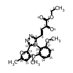 CCOC(=O)C(=O)/C=C/c1nnc(-c2ccc(C)o2)n1-c1c(OC)cccc1OC